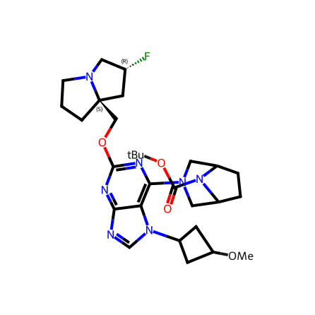 COC1CC(n2cnc3nc(OC[C@@]45CCCN4C[C@H](F)C5)nc(N4CC5CCC(C4)N5C(=O)OC(C)(C)C)c32)C1